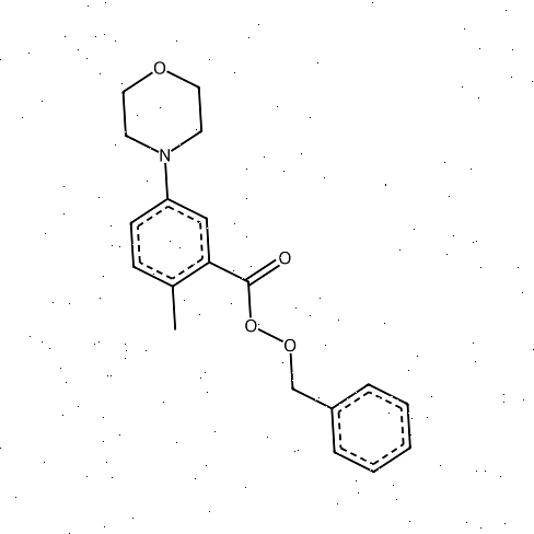 Cc1ccc(N2CCOCC2)cc1C(=O)OOCc1ccccc1